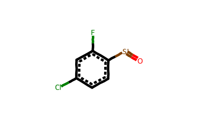 O=[S+]c1ccc(Cl)cc1F